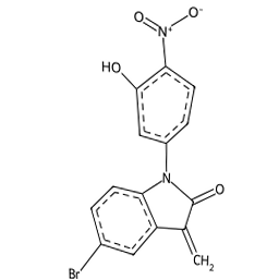 C=C1C(=O)N(c2ccc([N+](=O)[O-])c(O)c2)c2ccc(Br)cc21